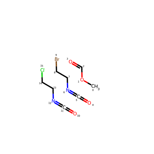 COC=O.O=C=NCCBr.O=C=NCCCl